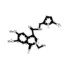 COc1cc2c(C(=O)NCc3ccc(C)o3)cn(CC(C)C)c(=O)c2cc1OC